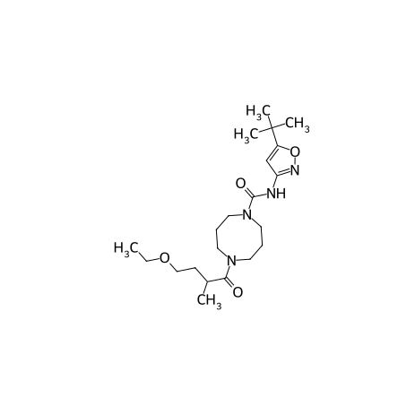 CCOCCC(C)C(=O)N1CCCN(C(=O)Nc2cc(C(C)(C)C)on2)CCC1